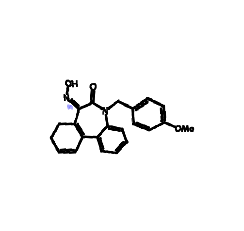 COc1ccc(Cn2c(=O)/c(=N\O)c3c(c4ccccc42)C=CCC3)cc1